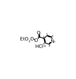 CCOC(=O)OC(=O)c1ccncc1.Cl